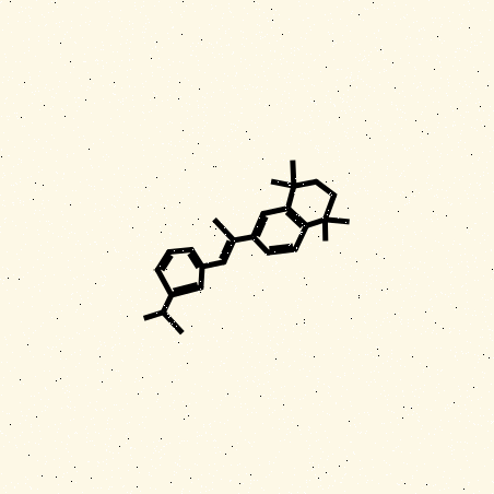 CC(=Cc1cc[c]c(C(C)C)c1)c1ccc2c(c1)C(C)(C)CCC2(C)C